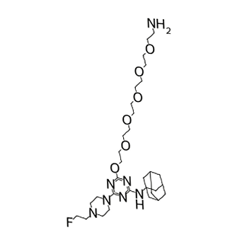 NCCOCCOCCOCCOCCOCCOc1nc(NC23CC4CC(CC(C4)C2)C3)nc(N2CCN(CCF)CC2)n1